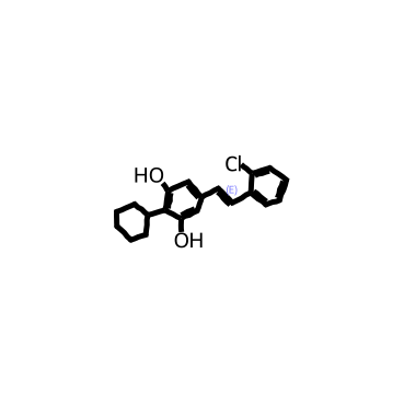 Oc1cc(/C=C/c2ccccc2Cl)cc(O)c1C1CCCCC1